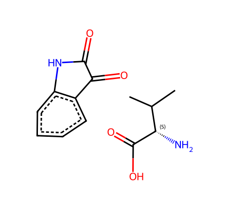 CC(C)[C@H](N)C(=O)O.O=C1Nc2ccccc2C1=O